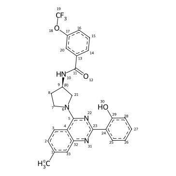 Cc1ccc2c(N3CC[C@@H](NC(=O)c4cccc(OC(F)(F)F)c4)C3)nc(-c3ccccc3O)nc2c1